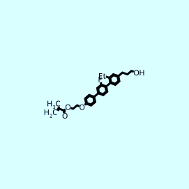 C=C(C)C(=O)OCCOc1ccc(-c2ccc(-c3ccc(CCCO)cc3CC)c(F)c2)cc1